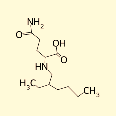 CCCCC(CC)CNC(CCC(N)=O)C(=O)O